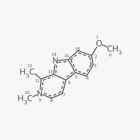 COc1ccc2c3ccn(C)c(C)c-3nc2c1